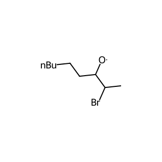 CCCCCCC([O])C(C)Br